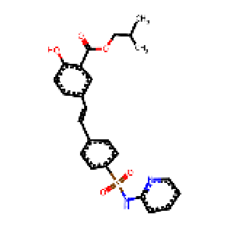 CC(C)COC(=O)c1cc(C=Cc2ccc(S(=O)(=O)Nc3ccccn3)cc2)ccc1O